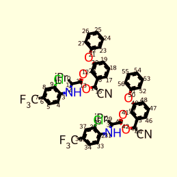 CC(C)C(Nc1ccc(C(F)(F)F)cc1Cl)C(=O)OC(C#N)c1cccc(Oc2ccccc2)c1.CC(C)C(Nc1ccc(C(F)(F)F)cc1Cl)C(=O)OC(C#N)c1cccc(Oc2ccccc2)c1